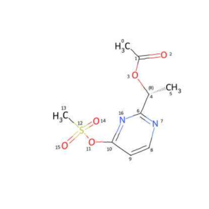 CC(=O)O[C@H](C)c1nccc(OS(C)(=O)=O)n1